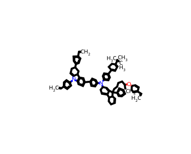 C=CC1=CCC(OC(CC)CCCCC2(c3ccccc3)C3=CC(N(c4ccc(C5=CC=C(C(C)(C)C)CC5)cc4)c4ccc(-c5ccc6c(c5)C5CC(c7ccc(C=C)cc7)CC=C5N6c5ccc(C=C)cc5)cc4)CC=C3C3CCC=CC32)C=C1